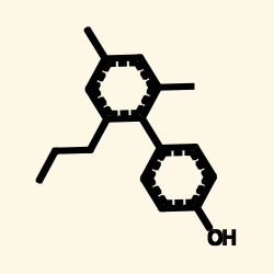 CCCc1cc(C)cc(C)c1-c1ccc(O)cc1